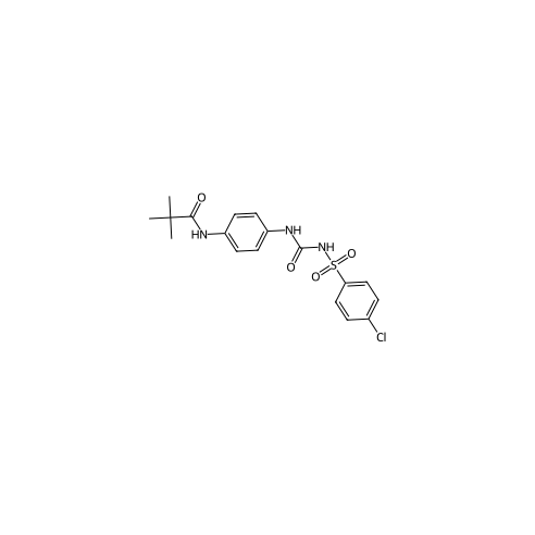 CC(C)(C)C(=O)Nc1ccc(NC(=O)NS(=O)(=O)c2ccc(Cl)cc2)cc1